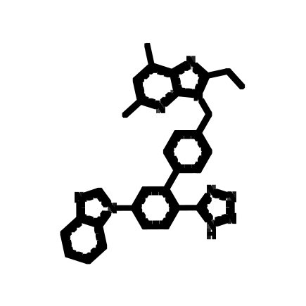 CCc1nc2c(C)cc(C)nc2n1Cc1ccc(-c2cc(-n3cnc4ccccc43)ccc2-c2nnn[nH]2)cc1